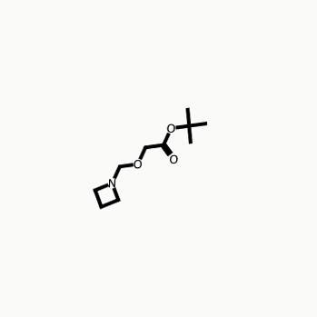 CC(C)(C)OC(=O)COCN1CCC1